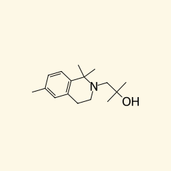 Cc1ccc2c(c1)CCN(CC(C)(C)O)C2(C)C